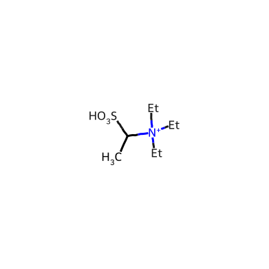 CC[N+](CC)(CC)C(C)S(=O)(=O)O